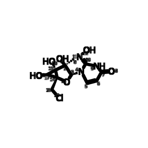 C[C@]1(O)[C@H](n2ccc(=O)[nH]/c2=N\O)O[C@]2(CCl)C(O)[C@@]12O